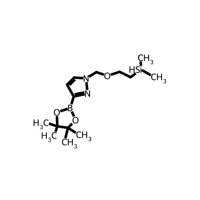 C[SiH](C)CCOCn1ccc(B2OC(C)(C)C(C)(C)O2)n1